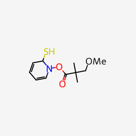 COCC(C)(C)C(=O)ON1C=CC=CC1S